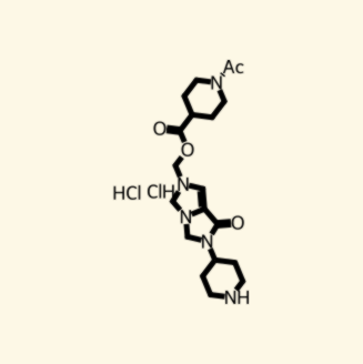 CC(=O)N1CCC(C(=O)OCN2C=C3C(=O)N(C4CCNCC4)CN3C2)CC1.Cl.Cl